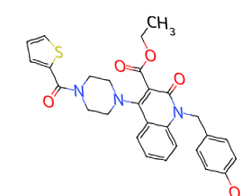 CCOC(=O)c1c(N2CCN(C(=O)c3cccs3)CC2)c2ccccc2n(Cc2ccc(OC)cc2)c1=O